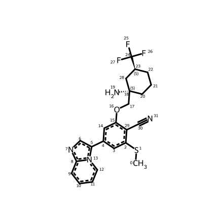 CSc1cc(-c2cnc3ccccn23)cc(OC[C@]2(N)CCC[C@H](C(F)(F)F)C2)c1C#N